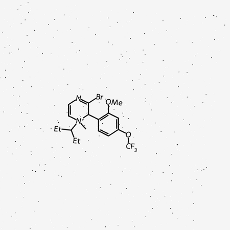 CCC(CC)[N+]1(C)C=CN=C(Br)C1c1ccc(OC(F)(F)F)cc1OC